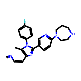 C=N/C=C\c1nc(-c2ccc(N3CCCNCC3)nc2)n(-c2ccc(F)cc2)c1C